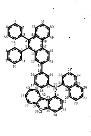 c1ccc(-c2c(-c3ccccc3)c3cc(-c4cccc(N(c5cccc6ccccc56)c5cccc6sc7ccccc7c56)c4)ccc3c3ccccc23)cc1